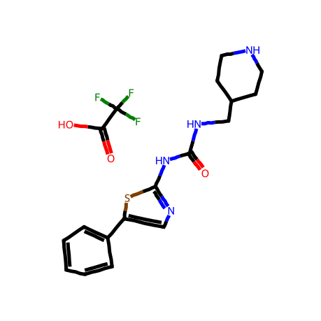 O=C(NCC1CCNCC1)Nc1ncc(-c2ccccc2)s1.O=C(O)C(F)(F)F